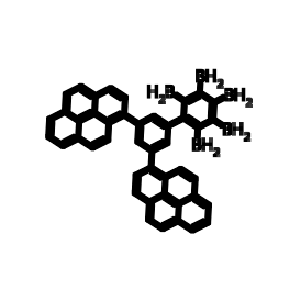 Bc1c(B)c(B)c(-c2cc(-c3ccc4ccc5cccc6ccc3c4c56)cc(-c3ccc4ccc5cccc6ccc3c4c56)c2)c(B)c1B